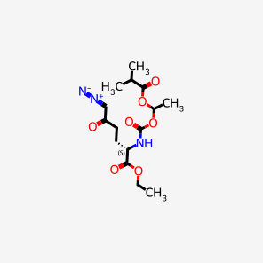 CCOC(=O)[C@H](CCC(=O)C=[N+]=[N-])NC(=O)OC(C)OC(=O)C(C)C